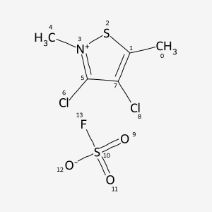 Cc1s[n+](C)c(Cl)c1Cl.O=S(=O)([O-])F